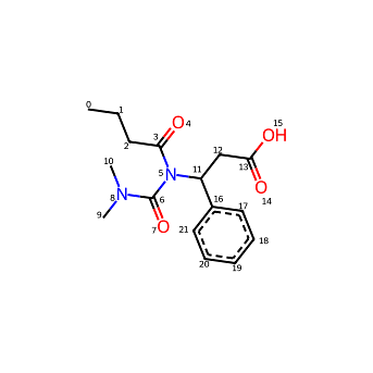 CCCC(=O)N(C(=O)N(C)C)C(CC(=O)O)c1ccccc1